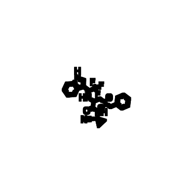 N#CC1(NC(=O)C(CS(=O)(=O)Cc2ccccc2)N[C@H](c2c[nH]c3ccccc23)C(F)(F)F)CC1